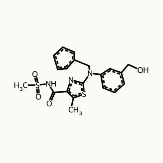 Cc1sc(N(Cc2ccccc2)c2cccc(CO)c2)nc1C(=O)NS(C)(=O)=O